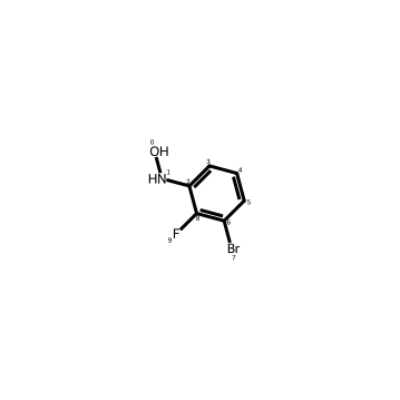 ONc1cccc(Br)c1F